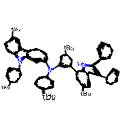 CC(C)(C)c1ccc(N(c2cc(-c3cc(C(C)(C)C)cc4c(-c5ccccc5)c(-c5ccccc5)[nH]c34)cc(C(C)(C)C)c2)c2ccc3c4cc(C(C)(C)C)ccc4n(-c4ccc(C(C)(C)C)cc4)c3c2)cc1